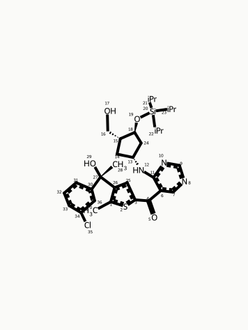 Cc1sc(C(=O)c2cncnc2N[C@@H]2C[C@H](CO)[C@@H](O[Si](C(C)C)(C(C)C)C(C)C)C2)cc1[C@@](C)(O)c1cccc(Cl)c1